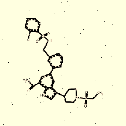 CCS(=O)(=O)N1CCC(c2c[nH]c3c(C(N)=O)cc(-c4cccc(CNS(=O)(=O)c5ccccc5Cl)c4)cc23)CC1